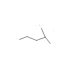 N[C@@](S)(CCC(=O)O)C(=O)O